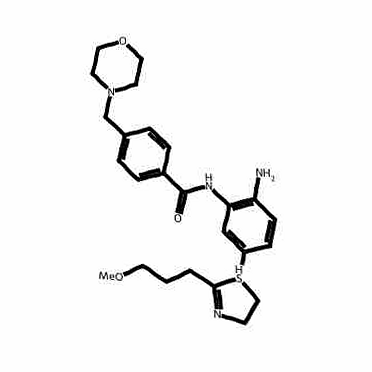 COCCCC1=NCC[SH]1c1ccc(N)c(NC(=O)c2ccc(CN3CCOCC3)cc2)c1